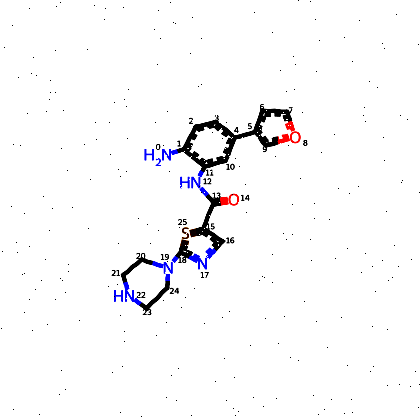 Nc1ccc(-c2ccoc2)cc1NC(=O)c1cnc(N2CCNCC2)s1